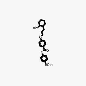 CCCCCCCCc1ccc(OC(=O)c2ccc(OCCCC3CCCCC3CCC)cc2)cc1